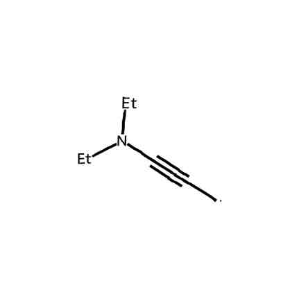 [CH2]C#CN(CC)CC